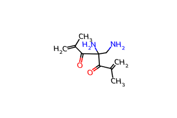 C=C(C)C(=O)C(N)(CN)C(=O)C(=C)C